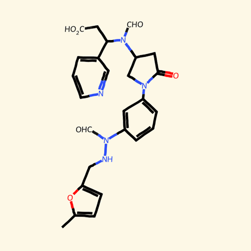 Cc1ccc(CNN(C=O)c2cccc(N3CC(N(C=O)C(CC(=O)O)c4cccnc4)CC3=O)c2)o1